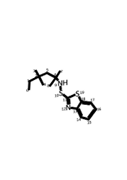 CCC(C)(C)CC(C)(C)NSc1nc2ccccc2s1